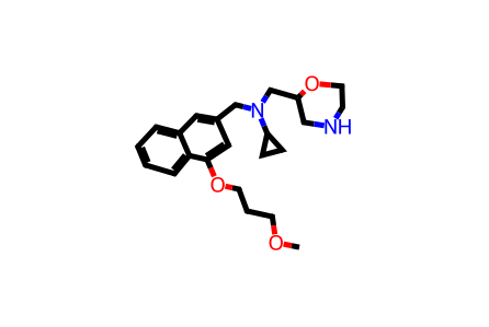 COCCCOc1cc(CN(CC2CNCCO2)C2CC2)cc2ccccc12